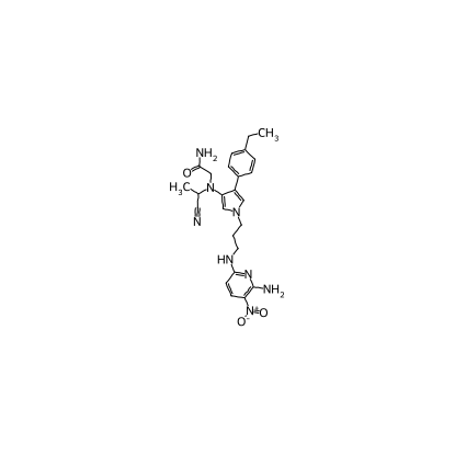 CCc1ccc(-c2cn(CCCNc3ccc([N+](=O)[O-])c(N)n3)cc2N(CC(N)=O)C(C)C#N)cc1